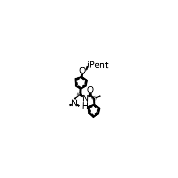 CCCC(C)COc1ccc([C@H](CN(C)C)NC(=O)[C@@H](C)c2ccccc2)cc1